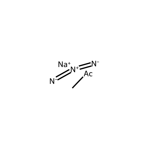 CC(C)=O.[N-]=[N+]=[N-].[Na+]